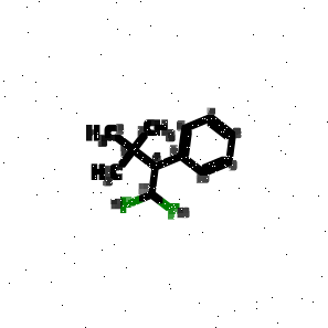 CC(C)(C)C(c1ccccc1)C(F)F